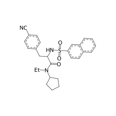 CCN(C(=O)C(Cc1ccc(C#N)cc1)NS(=O)(=O)c1ccc2ccccc2c1)C1CCCC1